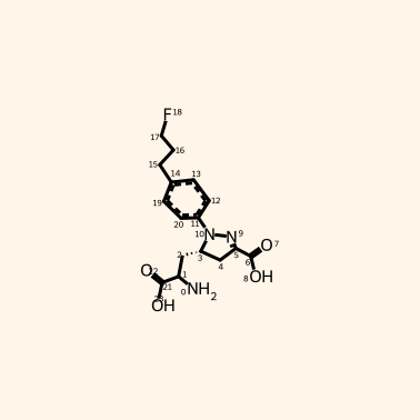 NC(C[C@H]1CC(C(=O)O)=NN1c1ccc(CCCF)cc1)C(=O)O